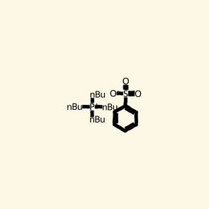 CCCC[P+](CCCC)(CCCC)CCCC.O=S(=O)([O-])c1ccccc1